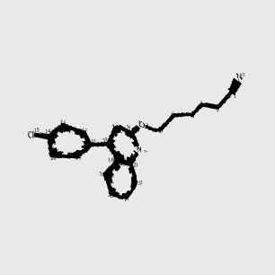 N#CCCCCCOc1cc(-c2ccc(Cl)cc2)c2ccccc2n1